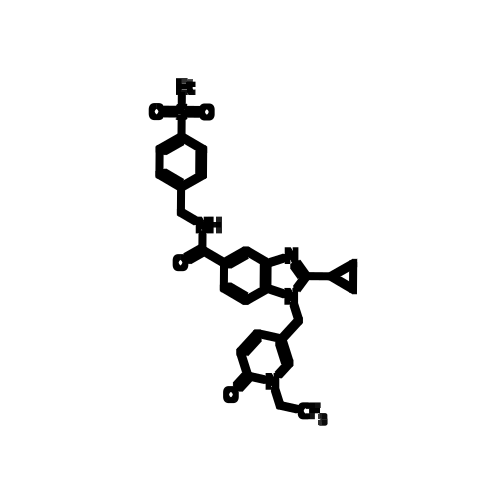 CCS(=O)(=O)c1ccc(CNC(=O)c2ccc3c(c2)nc(C2CC2)n3Cc2ccc(=O)n(CC(F)(F)F)c2)cc1